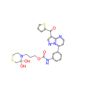 O=C(Nc1cccc(-c2ccnc3c(C(=O)c4cccs4)cnn23)c1)OCCCN1CCSCC1(O)O